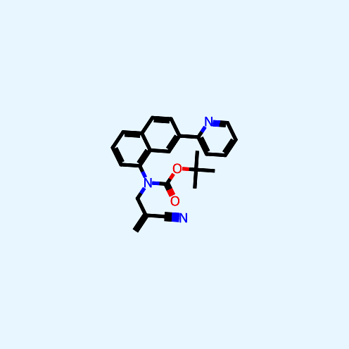 C=C(C#N)CN(C(=O)OC(C)(C)C)c1cccc2ccc(-c3ccccn3)cc12